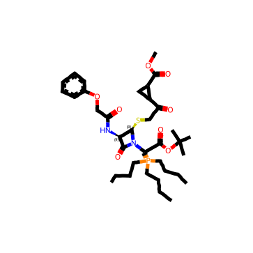 CCCCP(CCCC)(CCCC)=C(C(=O)OC(C)(C)C)N1C(=O)[C@@H](NC(=O)COc2ccccc2)[C@H]1SCC(=O)C1CC1C(=O)OC